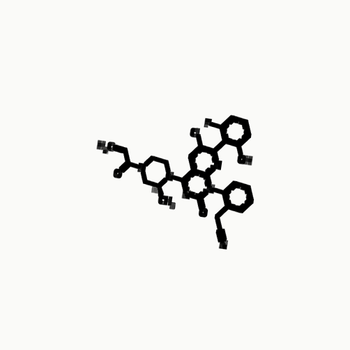 C=CC(=O)N1CCN(c2nc(=O)n(-c3ccccc3CC#N)c3nc(-c4c(O)cccc4F)c(Cl)cc23)[C@@H](C)C1